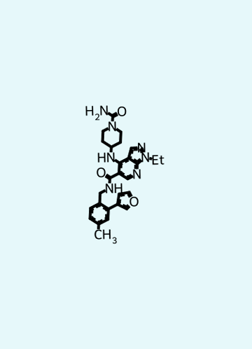 CCn1ncc2c(NC3CCN(C(N)=O)CC3)c(C(=O)NCc3ccc(C)cc3-c3ccoc3)cnc21